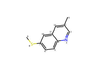 [CH2]c1cnc2ccc(SC)cc2c1